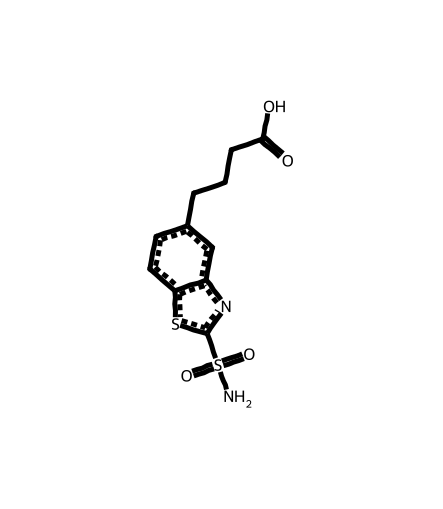 NS(=O)(=O)c1nc2cc(CCCC(=O)O)ccc2s1